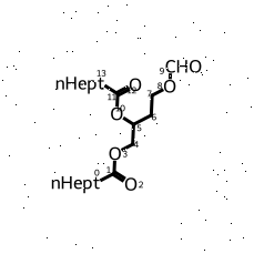 CCCCCCCC(=O)OCC(CCOC=O)OC(=O)CCCCCCC